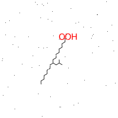 CCCCCCCCC(CCCCCCCCC(=O)O)CC(C)C